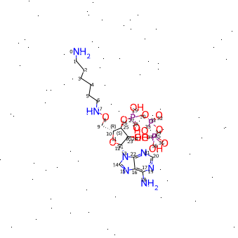 NCCCCCCNOC[C@H]1O[C@@H](n2cnc3c(N)ncnc32)[C@H](O)[C@@H]1OP(=O)(O)OP(=O)(O)OP(=O)(O)O